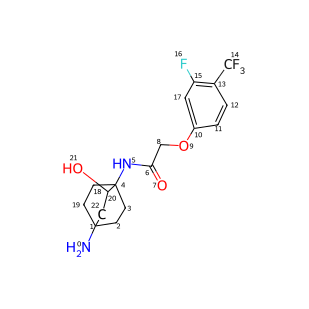 NC12CCC(NC(=O)COc3ccc(C(F)(F)F)c(F)c3)(CC1)C(O)C2